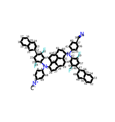 [C-]#[N+]c1ccc(N(c2cc(F)c(-c3ccc4ccccc4c3)cc2F)c2ccc3ccc4c(N(c5ccc(C#N)cc5)c5cc(F)c(-c6ccc7ccccc7c6)cc5F)ccc5ccc2c3c54)cc1